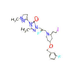 Cc1nn(C[C@H](F)CN2CCC(OCc3cccc(F)c3)CC2CCI)c(=O)n1C1=NN(C)CC1